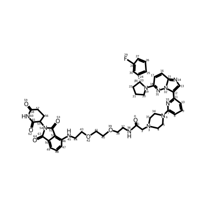 O=C(CN1CCN(c2cccc(-c3cnc4ccc(N5CCC[C@@H]5c5cccc(F)c5)nn34)n2)CC1)NCCOCCOCCNc1cccc2c1C(=O)N(C1CCC(=O)NC1=O)C2=O